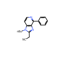 CCCCn1c(CC#N)nc2c(-c3ccccc3)nccc21